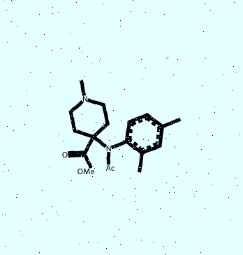 COC(=O)C1(N(C(C)=O)c2ccc(C)cc2C)CCN(C)CC1